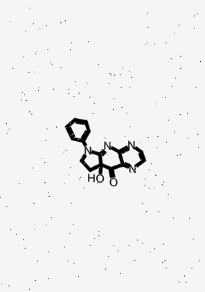 O=C1c2nccnc2N=C2N(c3ccccc3)CCC12O